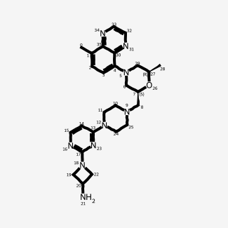 Cc1ccc(N2C[C@H](CN3CCN(c4ccnc(N5CC(N)C5)n4)CC3)O[C@H](C)C2)c2nccnc12